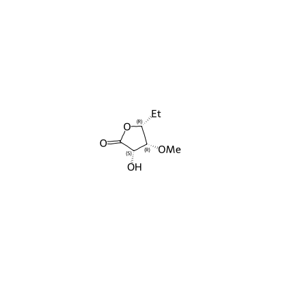 CC[C@H]1OC(=O)[C@@H](O)[C@H]1OC